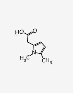 Cc1ccc(CC(=O)O)n1C